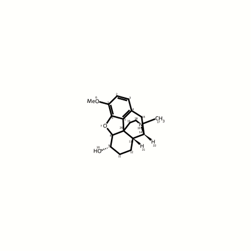 COc1ccc2c3c1OC1[C@@H](O)CC[C@H]4[C@@H](C2)N(C)CCC314